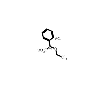 Cl.O=C(O)[C@H](OCC(F)(F)F)c1ccccc1